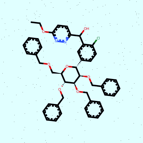 CCOc1ccc(C(O)c2cc([C@H]3O[C@H](COCc4ccccc4)[C@@H](OCc4ccccc4)[C@H](OCc4ccccc4)[C@@H]3OCc3ccccc3)ccc2Cl)nn1